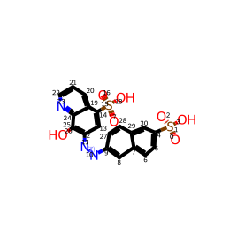 O=S(=O)(O)c1ccc2cc(/N=N\c3cc(S(=O)(=O)O)c4cccnc4c3O)ccc2c1